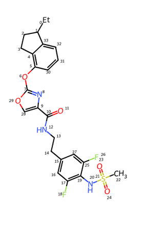 CCC1CCc2c(Oc3nc(C(=O)NCCc4cc(F)c(NS(C)(=O)=O)c(F)c4)co3)cccc21